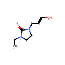 CCN1CCN(CC=CO)C1=O